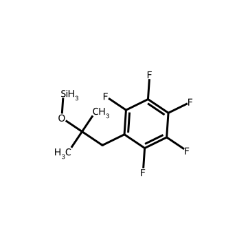 CC(C)(Cc1c(F)c(F)c(F)c(F)c1F)O[SiH3]